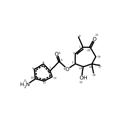 CC1=CC(OC(=O)c2ccc(N)cc2)C(O)C(C)(C)CC1=O